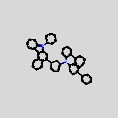 C1=CC(c2cc3c(c4ccccc24)c2ccccc2n3-c2ccccc2)CC(N(c2ccc(-c3ccccc3)cc2)c2ccccc2-c2ccccc2)=C1